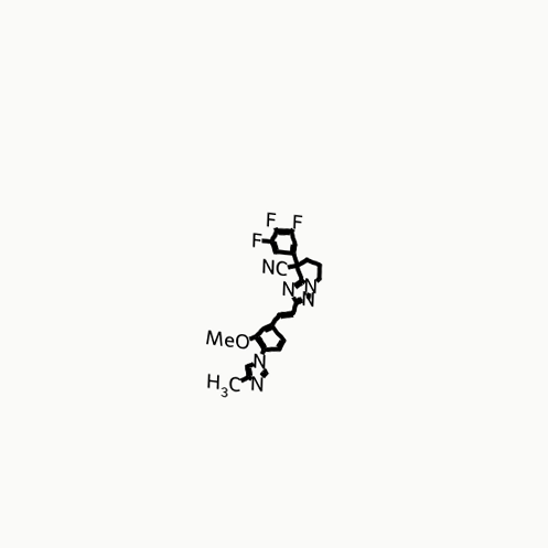 COc1cc(C=Cc2nc3n(n2)CCCC3(C#N)c2cc(F)c(F)c(F)c2)ccc1-n1cnc(C)c1